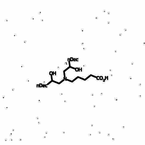 CCCCCCCCCCC(O)CN(CCCCC(=O)O)CC(O)CCCCCCCCCC